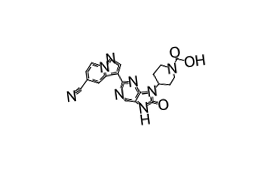 N#Cc1ccn2ncc(-c3ncc4[nH]c(=O)n(C5CCN(C(=O)O)CC5)c4n3)c2c1